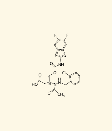 CC(=O)N(NCc1ccccc1Cl)[C@H](COC(=O)Nc1nc2cc(F)c(F)cc2s1)CC(=O)O